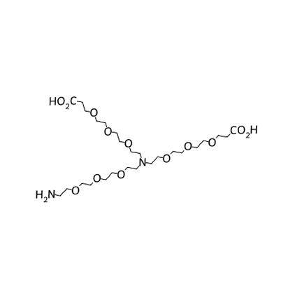 NCCOCCOCCOCCN(CCOCCOCCOCCC(=O)O)CCOCCOCCOCCC(=O)O